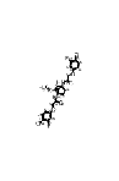 COC1CC2(NC(=O)COc3ccc(Cl)c(F)c3)CCC1(NC(=O)COc1ccc(Cl)c(F)c1)C2